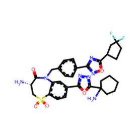 N[C@H]1CS(=O)(=O)c2ccc(-c3nnc(C4(N)CCCCC4)o3)cc2N(Cc2ccc(-c3noc(C4CCC(F)(F)C4)n3)cc2)C1=O